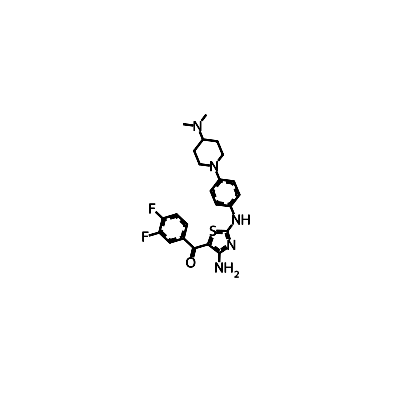 CN(C)C1CCN(c2ccc(Nc3nc(N)c(C(=O)c4ccc(F)c(F)c4)s3)cc2)CC1